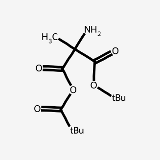 CC(C)(C)OC(=O)C(C)(N)C(=O)OC(=O)C(C)(C)C